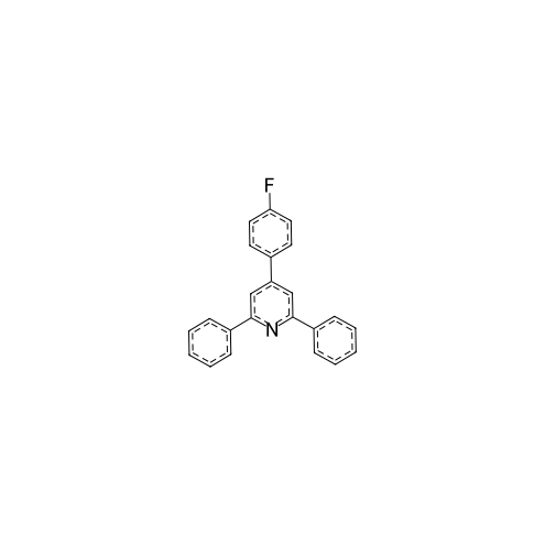 Fc1ccc(-c2cc(-c3ccccc3)nc(-c3ccccc3)c2)cc1